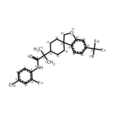 CC(C)(C(=O)Nc1ccc(Cl)cc1F)C1CCC2(CC1)COc1cc(C(F)(F)F)ccc12